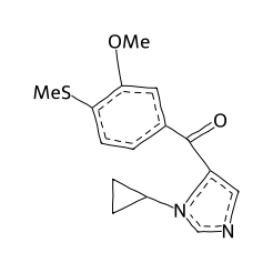 COc1cc(C(=O)c2cncn2C2CC2)ccc1SC